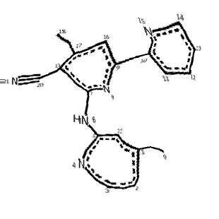 Cc1ccnc(Nc2nc(-c3ccccn3)cc(C)c2C#N)c1